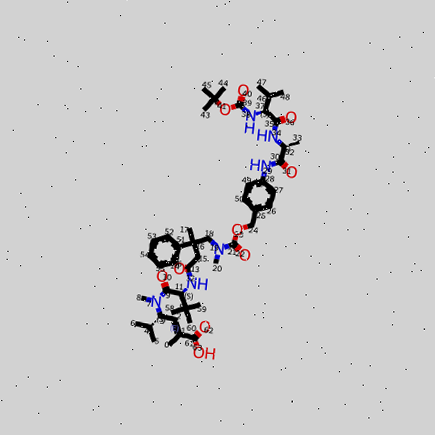 C/C(=C\[C@H](C(C)C)N(C)C(=O)[C@@H](NC(=O)CC(C)(CN(C)C(=O)OCc1ccc(NC(=O)[C@H](C)NC(=O)[C@@H](NC(=O)OC(C)(C)C)C(C)C)cc1)c1ccccc1)C(C)(C)C)C(=O)O